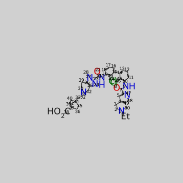 CCN1CCc2cc(C(=O)Nc3cccc(-c4cccc(NC(=O)c5nc6c(n5C)CCN(CCC57CCC(C(=O)O)(CC5)C7)C6)c4Cl)c3Cl)ncc2C1